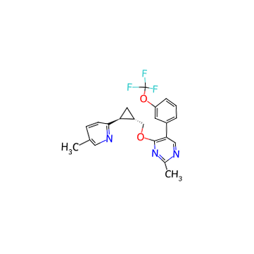 Cc1ccc([C@H]2C[C@@H]2COc2nc(C)ncc2-c2cccc(OC(F)(F)F)c2)nc1